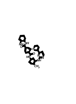 Cc1ccc(NC(=O)c2ccc(C(=O)Nc3ccccc3N)cc2)cc1Nc1nccc(-c2cccnc2)n1